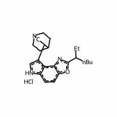 CCCCC(CC)c1nc2c(ccc3[nH]cc(C4CN5CCC4CC5)c32)o1.Cl